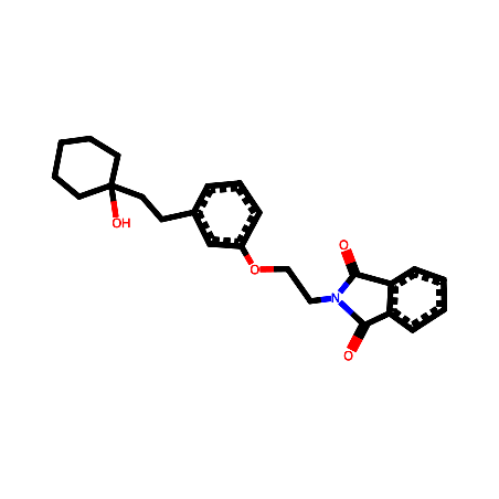 O=C1c2ccccc2C(=O)N1CCOc1cccc(CCC2(O)CCCCC2)c1